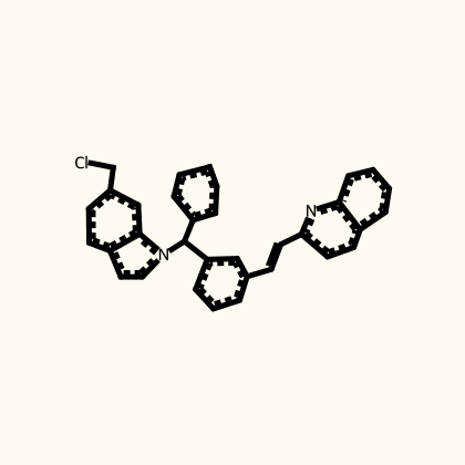 ClCc1ccc2ccn(C(c3ccccc3)c3cccc(/C=C/c4ccc5ccccc5n4)c3)c2c1